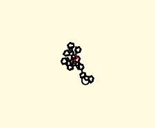 c1ccc([Si](c2ccccc2)(c2ccccc2)c2cccc(-n3c4ccccc4c4cccc(-n5c6ccccc6c6ccc(-c7ccc8oc9ccccc9c8c7)cc65)c43)c2)cc1